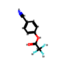 N#Cc1ccc(OC(=O)C(F)(F)F)cc1